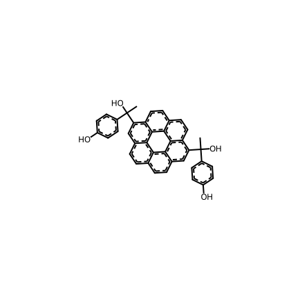 CC(O)(c1ccc(O)cc1)c1cc2ccc3ccc4cc(C(C)(O)c5ccc(O)cc5)c5ccc6ccc1c1c2c3c4c5c61